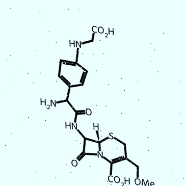 COCC1=C(C(=O)O)N2C(=O)C(NC(=O)C(N)c3ccc(NCC(=O)O)cc3)[C@@H]2SC1